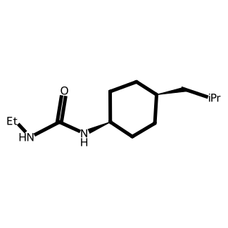 CCNC(=O)N[C@H]1CC[C@@H](CC(C)C)CC1